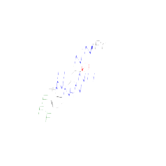 Cc1nc(N[C@H](C)c2cccc(C(F)F)c2F)c2cc(CN3CCN(C(C)C)CC3)c(=O)[nH]c2n1